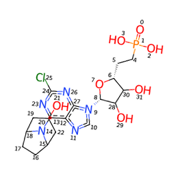 O=P(O)(O)CC[C@H]1O[C@@H](n2cnc3c(N4C5CCC4CC(O)C5)nc(Cl)nc32)C(O)C1O